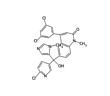 Cn1cncc1C(O)(c1ccc(Cl)nc1)c1ccc2c(c1)c(-c1cc(Cl)cc(Cl)c1)cc(=O)n2C